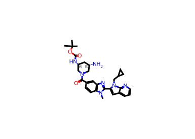 Cn1c(-c2cc3cccnc3n2CC2CC2)nc2cc(C(=O)N3C[C@@H](N)C[C@@H](NC(=O)OC(C)(C)C)C3)ccc21